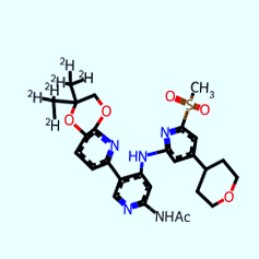 [2H]C([2H])([2H])C1(C([2H])([2H])[2H])COc2nc(-c3cnc(NC(C)=O)cc3Nc3cc(C4CCOCC4)cc(S(C)(=O)=O)n3)ccc2O1